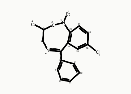 CCN1CC(Cl)CN=C(c2ccccc2)c2cc(Cl)ccc21